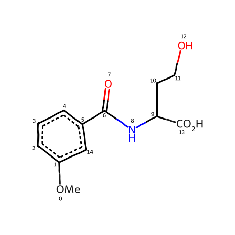 COc1cccc(C(=O)NC(CCO)C(=O)O)c1